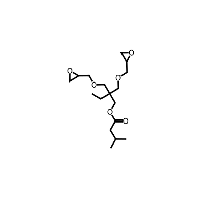 CCC(COCC1CO1)(COCC1CO1)COC(=O)CC(C)C